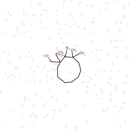 CC1(C)CCCCCCCC(CO)(CO)C1(C)C